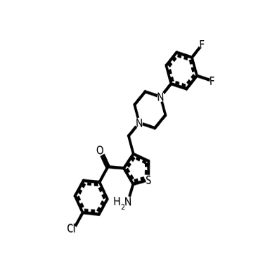 Nc1scc(CN2CCN(c3ccc(F)c(F)c3)CC2)c1C(=O)c1ccc(Cl)cc1